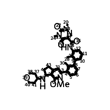 COc1nc(-c2cccc(-c3cccc(NC(=O)c4nn(C)c(=O)n(C)c4=O)c3C)c2C)cc2c1C(NC1CCOCC1)CC2